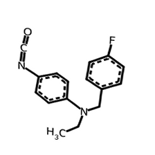 CCN(Cc1ccc(F)cc1)c1ccc(N=C=O)cc1